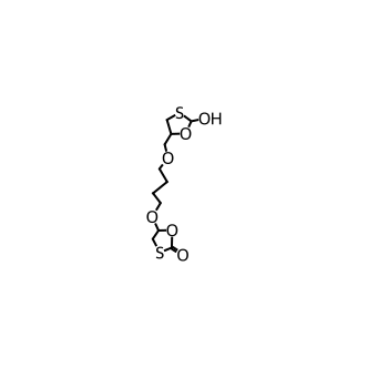 O=C1OC(OCCCCOCC2CSC(O)O2)CS1